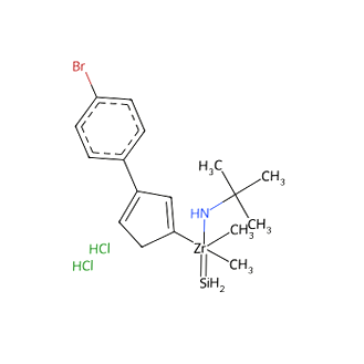 CC(C)(C)[NH][Zr]([CH3])([CH3])(=[SiH2])[C]1=CC(c2ccc(Br)cc2)=CC1.Cl.Cl